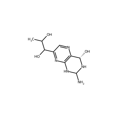 CC(O)C(O)c1cnc2c(n1)NC(N)N[C@H]2O